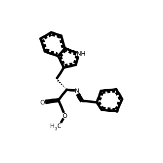 COC(=O)[C@H](Cc1c[nH]c2ccccc12)N=Cc1ccccc1